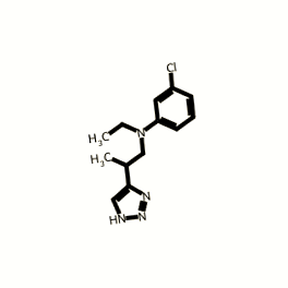 CCN(CC(C)c1c[nH]nn1)c1cccc(Cl)c1